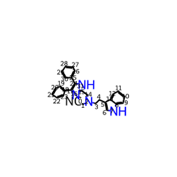 N#CCN(CCc1c[nH]c2ccccc12)Cc1nc(-c2ccccc2)c(-c2ccccc2)[nH]1